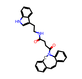 O=C(CCC(=O)N1Cc2ccccc2/C=C\c2ccccc21)NCCc1c[nH]c2ccccc12